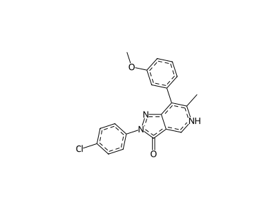 COc1cccc(-c2c3nn(-c4ccc(Cl)cc4)c(=O)c-3c[nH]c2C)c1